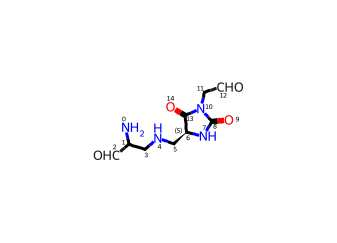 NC(C=O)CNC[C@@H]1NC(=O)N(CC=O)C1=O